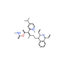 C=CC1=NC(C=C)C(CC/C(C)=C(/C(=C)OC(=C)NC)c2cc(C(C)C)cc[n+]2C)c2ccccc21